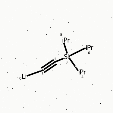 [Li][C]#C[Si](C(C)C)(C(C)C)C(C)C